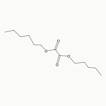 CCCCCCOC(=O)C(=O)OCCCCC